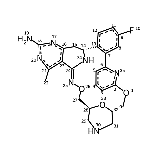 COc1cccc(-c2cc(F)ccc2[C@H]2Cc3nc(N)nc(C)c3/C(=N/OC[C@@H]3CNCCO3)N2)n1